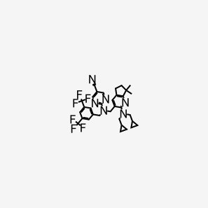 CC1(C)CCc2cc(CN(Cc3cc(C(F)(F)F)cc(C(F)(F)F)c3)c3ncc(C#N)cn3)c(N(CC3CC3)CC3CC3)nc21